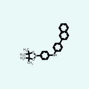 CC1(C)OB(c2ccc(Nc3ccc(-c4ccc5ccccc5c4)cc3)cc2)OC1(C)C